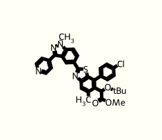 COC(=O)C(OC(C)(C)C)c1c(C)cc2nc(-c3ccc4c(c3)c(-c3ccncc3)nn4C)sc2c1-c1ccc(Cl)cc1